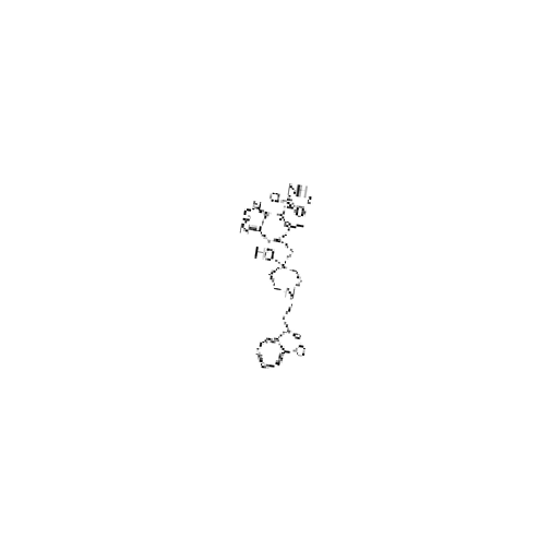 Cc1c(CC2(O)CCN(CCc3coc4ccccc34)CC2)cc2nsnc2c1S(N)(=O)=O